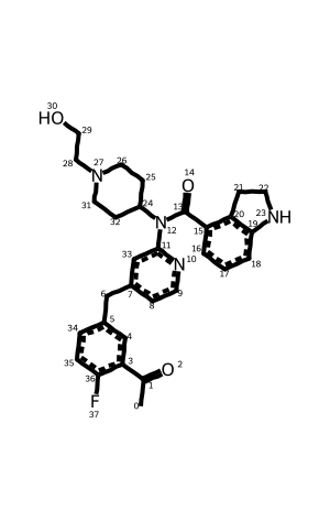 CC(=O)c1cc(Cc2ccnc(N(C(=O)c3cccc4c3CCN4)C3CCN(CCO)CC3)c2)ccc1F